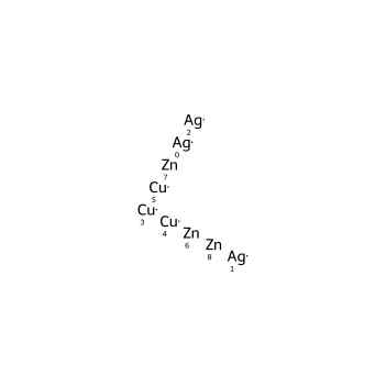 [Ag].[Ag].[Ag].[Cu].[Cu].[Cu].[Zn].[Zn].[Zn]